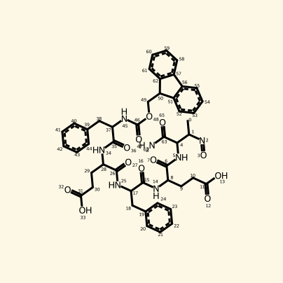 CC(N=O)C(NC(=O)C(CCC(=O)O)NC(=O)C(Cc1ccccc1)NC(=O)C(CCC(=O)O)NC(=O)C(Cc1ccccc1)NC(=O)OCC1c2ccccc2-c2ccccc21)C(N)=O